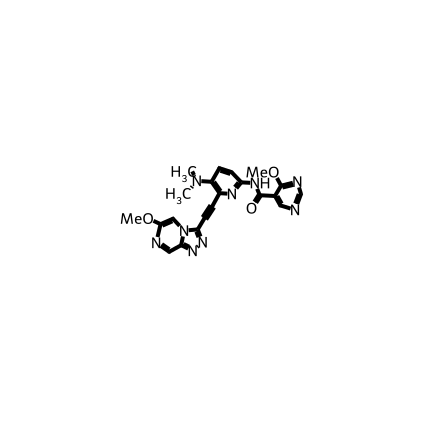 COc1cn2c(C#Cc3nc(NC(=O)c4cncnc4OC)ccc3N(C)C)nnc2cn1